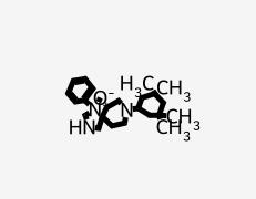 CC1(C)CC(N2CCC3(CC2)CNC[N+]3([O-])c2ccccc2)CC(C)(C)C1